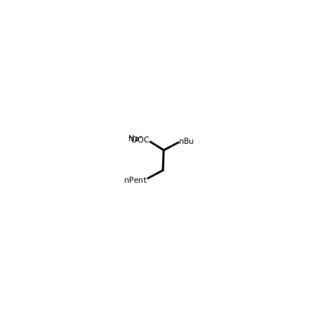 [CH2]CCCC(CCCCCC)C(=O)[O-].[Na+]